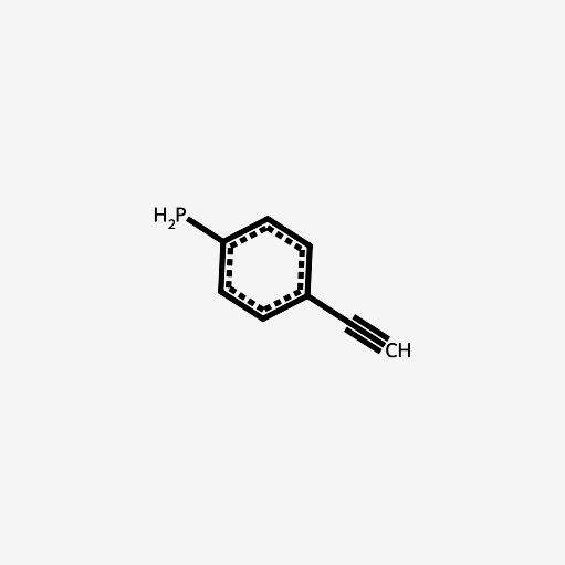 C#Cc1ccc(P)cc1